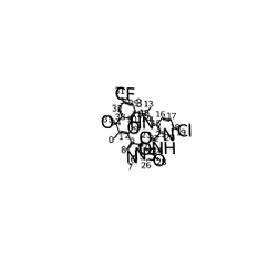 Cc1c(-c2cnn(C)c2)oc2c([C@@H](C)Nc3ccc(Cl)nc3C(=O)NS(C)(=O)=O)cc(C(F)(F)F)cc2c1=O